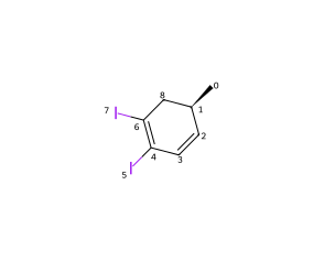 C[C@H]1C=CC(I)=C(I)C1